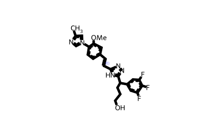 COc1cc(/C=C/c2nnc(C(CCCO)c3cc(F)c(F)c(F)c3)[nH]2)ccc1-n1cnc(C)c1